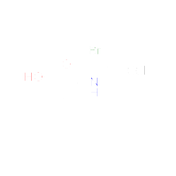 O=C(NC(Br)C(Cl)(Cl)Cl)c1ccccc1O